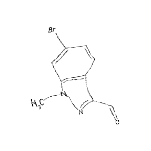 Cn1nc(C=O)c2ccc(Br)cc21